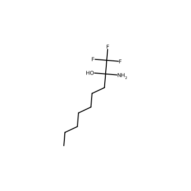 CCCCCCCC(N)(O)C(F)(F)F